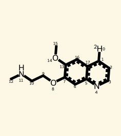 [2H]c1ccnc2cc(OCCNC)c(OC)cc12